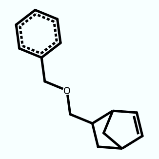 C1=CC2CC1CC2COCc1ccccc1